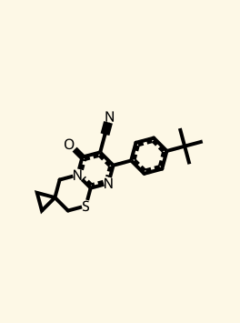 CC(C)(C)c1ccc(-c2nc3n(c(=O)c2C#N)CC2(CC2)CS3)cc1